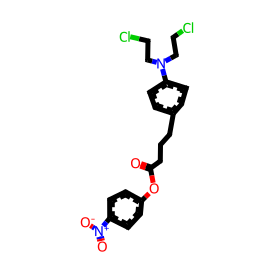 O=C(CCCc1ccc(N(CCCl)CCCl)cc1)Oc1ccc([N+](=O)[O-])cc1